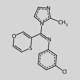 Cc1nccn1C(=Nc1cccc(Cl)c1)C1=COC=CS1